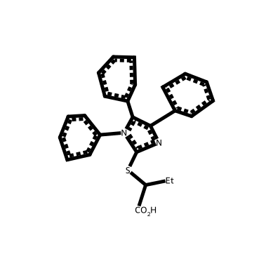 CCC(Sc1nc(-c2ccccc2)c(-c2ccccc2)n1-c1ccccc1)C(=O)O